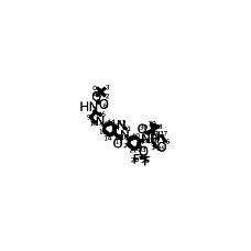 CC(C)(C)OC(=O)N[C@H]1CCN(c2ccc3c(=O)n(-c4ccc(OC(F)F)c(NC(=O)C5(N6CCOCC6)CC5)c4)cnc3c2)C1